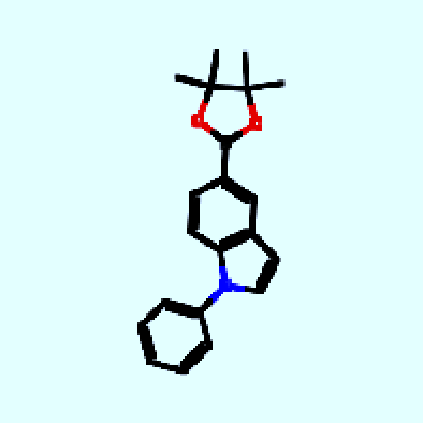 CC1(C)OB(c2ccc3c(ccn3-c3ccccc3)c2)OC1(C)C